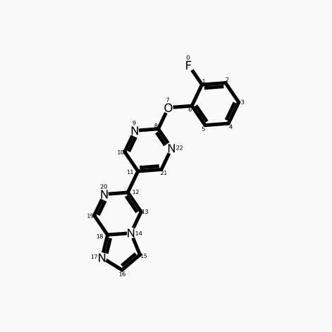 Fc1ccccc1Oc1ncc(-c2cn3ccnc3cn2)cn1